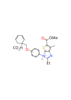 CCC1=Nc2c(sc(C(=O)OC)c2C)[N+]1(C)c1ccc(OCC2(C(=O)O)C=CC=CC2)cc1